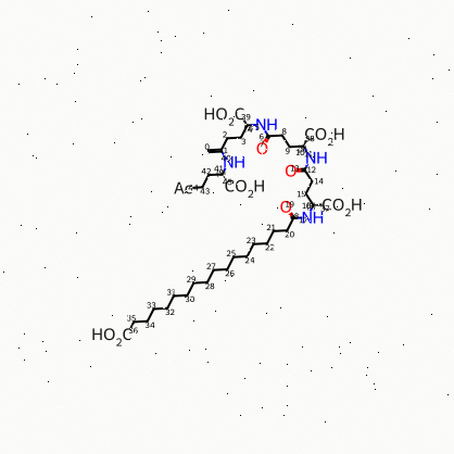 C=C(CC[C@H](NC(=O)CC[C@H](NC(=O)CC[C@H](NC(=O)CCCCCCCCCCCCCCCCC(=O)O)C(=O)O)C(=O)O)C(=O)O)N[C@@H](CCC(C)=O)C(=O)O